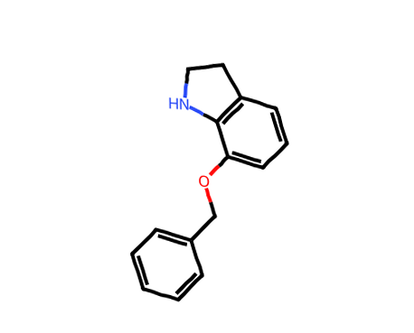 c1ccc(COc2cccc3c2NCC3)cc1